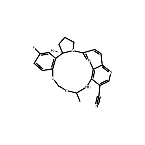 CC1CCOc2ccc(F)cc2[C@H]2CCCN2c2ccc3ncc(C#N)c(c3n2)N1